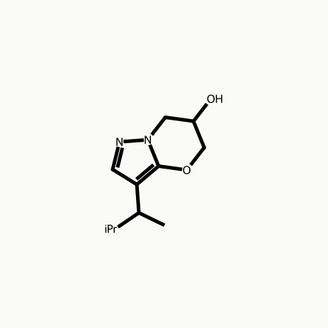 CC(C)C(C)c1cnn2c1OCC(O)C2